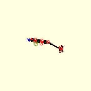 C[Si](C)(C)O[Si](C)(CCCCCCCCCCCOc1ccc(C(=O)Oc2ccc(C(=O)Oc3ccc(C#N)cc3)c(Cl)c2)cc1)O[Si](C)(C)C